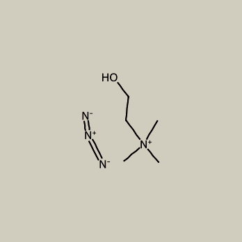 C[N+](C)(C)CCO.[N-]=[N+]=[N-]